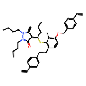 C=Cc1ccc(CCc2ccc(OCc3ccc(C=C)cc3)c(C)c2S/C(CCC)=c2/c(=C)n(CCCC)n(CCCC)c2=O)cc1